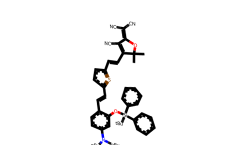 CCCCN(CCCC)c1ccc(C=Cc2ccc(C=CC3=C(C#N)C(=C(C#N)C#N)OC3(C)C)s2)c(O[Si](c2ccccc2)(c2ccccc2)C(C)(C)C)c1